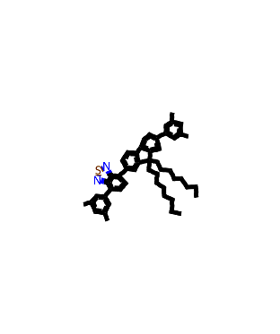 CCCCCCCCC1(CCCCCCCC)c2cc(-c3cc(C)cc(C)c3)ccc2-c2ccc(-c3ccc(-c4cc(C)cc(C)c4)c4nsnc34)cc21